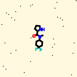 CN(C(=O)C1CCCN1)C1CCC(F)(F)CC1